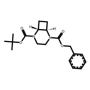 CC(C)(C)OC(=O)N1CCN(C(=O)OCc2ccccc2)[C@@H]2CC[C@H]21